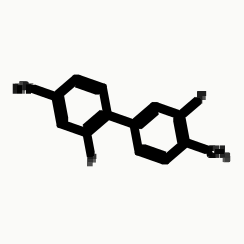 CCCc1ccc(-c2ccc(C)c(F)c2)c(F)c1